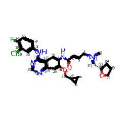 CN(CC=CC(=O)Nc1cc2c(Nc3ccc(F)c(Cl)c3)ncnc2cc1OCC1CC1)C[C@@H]1CCCO1